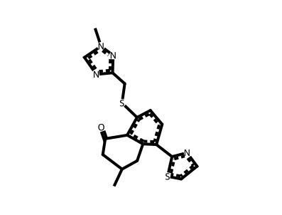 CC1CC(=O)c2c(SCc3ncn(C)n3)ccc(-c3nccs3)c2C1